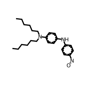 CCCCCCN(CCCCCC)c1ccc(Nc2ccc(N=O)cc2)cc1